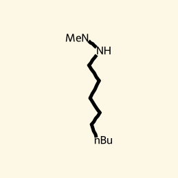 CCCCCCCCCNNC